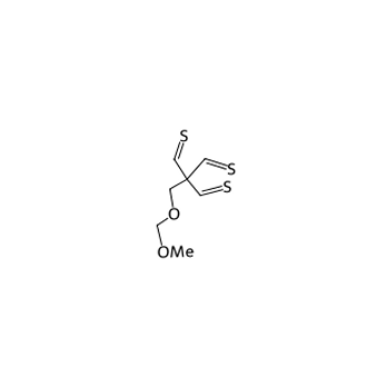 COCOCC(C=S)(C=S)C=S